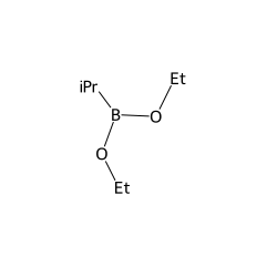 CCOB(OCC)C(C)C